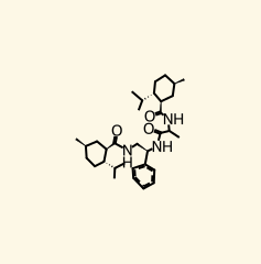 CC(NC(=O)[C@@H]1C[C@H](C)CC[C@H]1C(C)C)C(=O)N[C@H](CNC(=O)[C@@H]1C[C@H](C)CC[C@H]1C(C)C)c1ccccc1